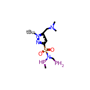 CPN(CP)S(=O)(=O)c1cc(CN(C)C)n(C(C)(C)C)n1